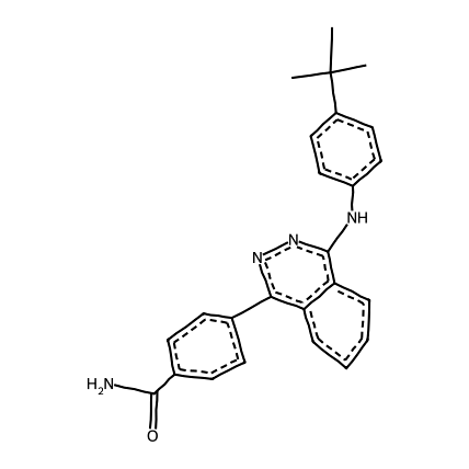 CC(C)(C)c1ccc(Nc2nnc(-c3ccc(C(N)=O)cc3)c3ccccc23)cc1